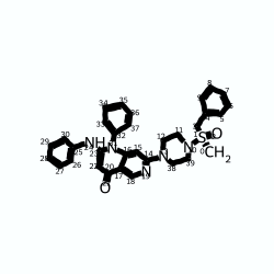 C=S(=O)(Cc1ccccc1)N1CCN(c2cc3c(cn2)c(=O)cc(Nc2ccccc2)n3-c2ccccc2)CC1